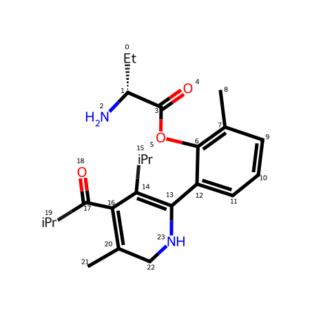 CC[C@@H](N)C(=O)Oc1c(C)cccc1C1=C(C(C)C)C(C(=O)C(C)C)=C(C)CN1